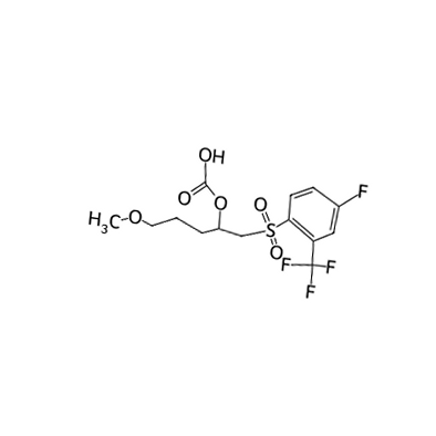 COCCCC(CS(=O)(=O)c1ccc(F)cc1C(F)(F)F)OC(=O)O